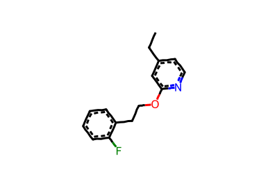 CCc1ccnc(OCCc2ccccc2F)c1